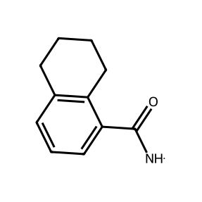 [NH]C(=O)c1cccc2c1CCCC2